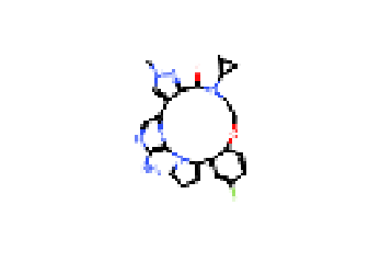 Cn1cc2c(n1)C(=O)N(C1CC1)CCOC1C=CC(F)=CC1(C)[C@H]1CCCN1c1nc-2cnc1N